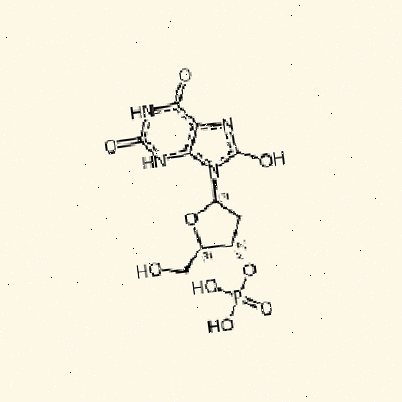 O=c1[nH]c(=O)c2nc(O)n([C@H]3C[C@H](OP(=O)(O)O)[C@@H](CO)O3)c2[nH]1